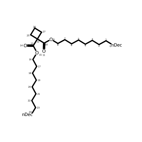 CCCCCCCCCCCCCCCCCCOC(=O)C1(C(=O)OCCCCCCCCCCCCCCCCCC)CCC1